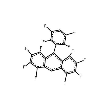 Fc1cc(F)c(F)c(-c2c3c(F)c(F)c(F)c(F)c3cc3c(F)c(F)c(F)c(F)c23)c1F